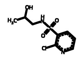 CC(O)CNS(=O)(=O)c1cccnc1Cl